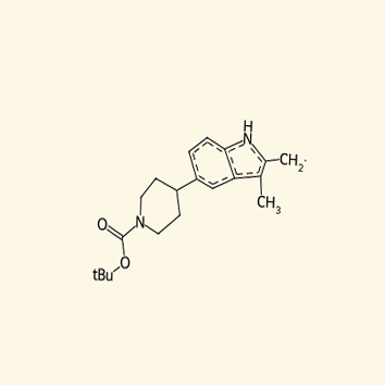 [CH2]c1[nH]c2ccc(C3CCN(C(=O)OC(C)(C)C)CC3)cc2c1C